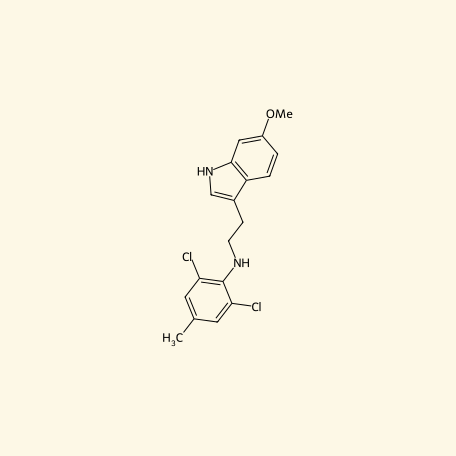 COc1ccc2c(CCNc3c(Cl)cc(C)cc3Cl)c[nH]c2c1